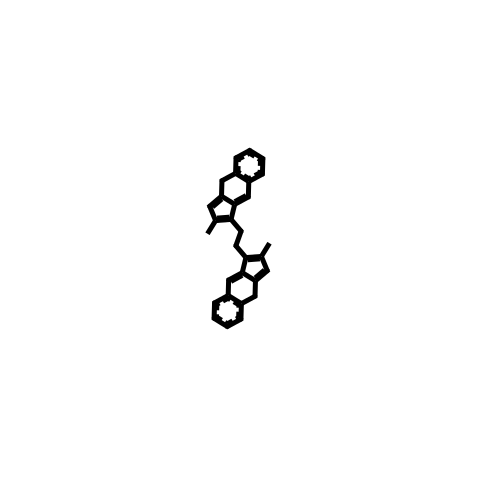 CC1=C(CCC2=C(C)C=C3Cc4ccccc4C=C32)C2=Cc3ccccc3CC2=C1